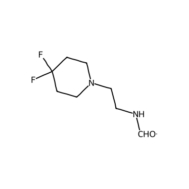 O=[C]NCCN1CCC(F)(F)CC1